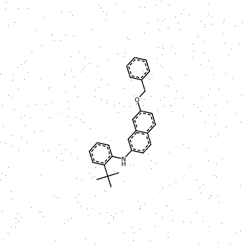 CC(C)(C)c1ccccc1Nc1ccc2ccc(OCc3ccccc3)cc2c1